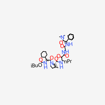 CCCC(NC(=O)[C@@H]1[C@@H](C)CCN1C(=O)[C@@H](NC(=O)OCC(C)C)C1CCCCC1)C(=O)C(=O)NCC(=O)N[C@H](C(=O)N(C)C)c1ccccc1